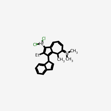 CCC1=[C]([Hf]([Cl])[Cl])C2=CC=CC(=[Si](C)C)C(C)C2=C1C1C=Cc2ccccc21